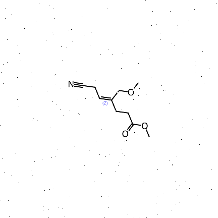 COC/C(=C\CC#N)CCC(=O)OC